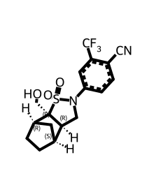 N#Cc1ccc(N2C[C@H]3[C@H]4CC[C@H](C4)[C@@]3(CO)S2(=O)=O)cc1C(F)(F)F